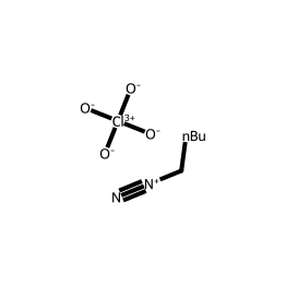 CCCCC[N+]#N.[O-][Cl+3]([O-])([O-])[O-]